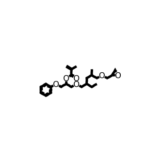 C=C(C)C(=O)OC(COCC(CC)CC(C)COCC1CO1)COc1ccccc1